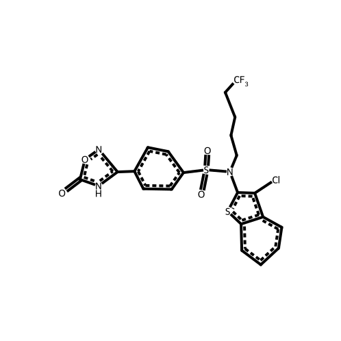 O=c1[nH]c(-c2ccc(S(=O)(=O)N(CCCCC(F)(F)F)c3sc4ccccc4c3Cl)cc2)no1